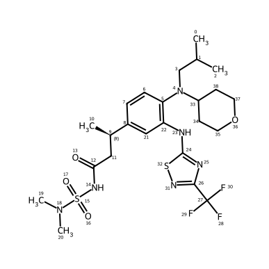 CC(C)CN(c1ccc([C@H](C)CC(=O)NS(=O)(=O)N(C)C)cc1Nc1nc(C(F)(F)F)ns1)C1CCOCC1